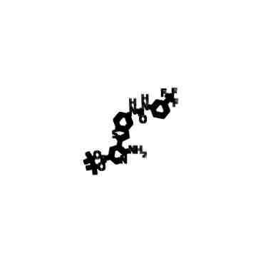 CC1(C)OB(c2cnc(N)c(-c3cc4cc(NC(=O)Nc5cccc(C(F)(F)F)c5)ccc4s3)c2)OC1(C)C